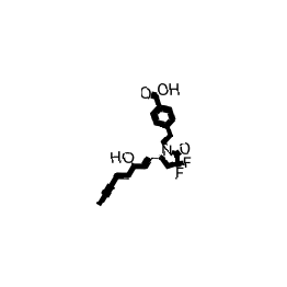 CC#CCC[C@H](O)/C=C/[C@H]1CC(F)(F)C(=O)N1CCc1ccc(C(=O)O)cc1